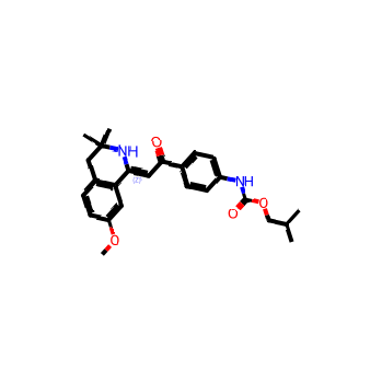 COc1ccc2c(c1)/C(=C/C(=O)c1ccc(NC(=O)OCC(C)C)cc1)NC(C)(C)C2